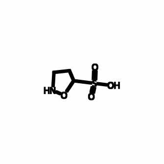 O=S(=O)(O)C1CCNO1